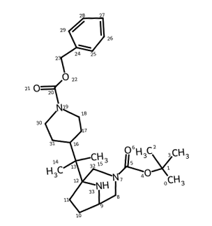 CC(C)(C)OC(=O)N1CC2CCC(C(C)(C)C3CCN(C(=O)OCc4ccccc4)CC3)(C1)N2